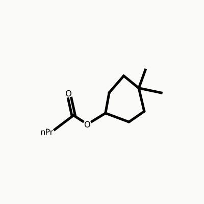 CCCC(=O)OC1CCC(C)(C)CC1